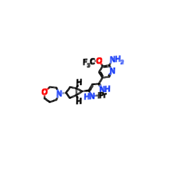 CC(C)N/C(=C\C(=N)c1cnc(N)c(OC(F)(F)F)c1)[C@H]1[C@@H]2C[C@H](N3CCCOCC3)C[C@@H]21